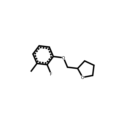 Cc1cccc(OCC2CCCO2)c1F